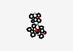 c1ccc2c(c1)Oc1ccccc1C21c2ccccc2-c2c(N(c3ccc4c(c3)C3(c5ccccc5Sc5ccccc53)c3ccccc3-4)c3cccc4c3-c3ccccc3C43c4ccccc4-c4ccccc43)cccc21